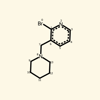 Brc1ncccc1CN1CCCCC1